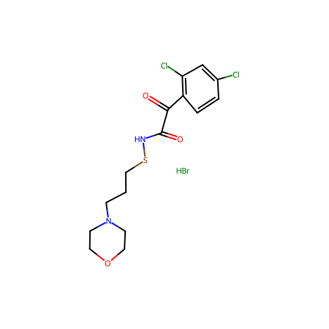 Br.O=C(NSCCCN1CCOCC1)C(=O)c1ccc(Cl)cc1Cl